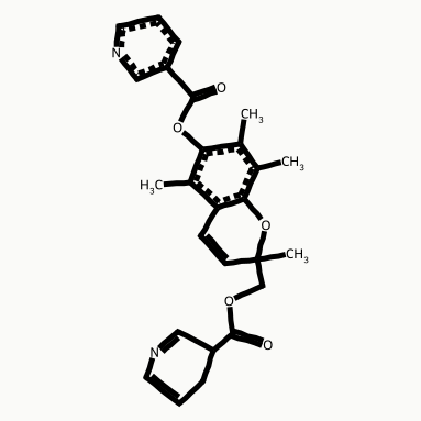 Cc1c(C)c2c(c(C)c1OC(=O)c1cccnc1)C=CC(C)(COC(=O)C1C=NC=CC1)O2